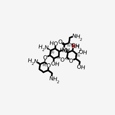 NCC1CCC(N)[C@@H](OC2C(O)[C@@H](O[C@H]3OC(CO)[C@@H](O)C(N)C3O)C(NC(=O)[C@@H](O)CN)C(O)[C@@H]2N)O1